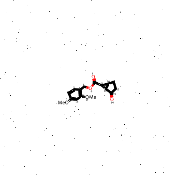 COc1ccc(COC(=O)C2C3CCC(=O)C32)c(OC)c1